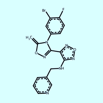 C=C1ON=C(c2nonc2NCc2cccnc2)N1c1ccc(F)c(Br)c1